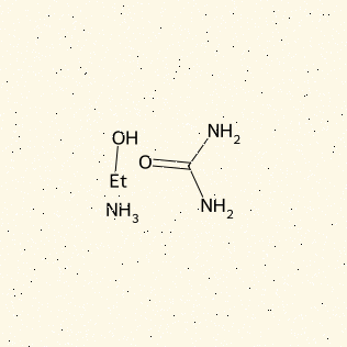 CCO.N.NC(N)=O